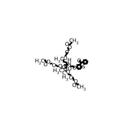 C=CC(=O)OCCOCCOC(C)CCC(COC(C)OCCOCCOC(=O)C=C)(COC(C)OCCOCCOC(=O)C=C)NC(=O)COc1ccc2sc3ccccc3c(=O)c2c1